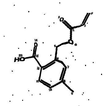 C=CC(=O)OCc1cc(C)ccc1C(=O)O